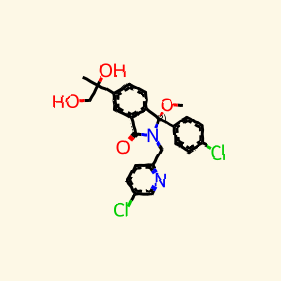 CO[C@]1(c2ccc(Cl)cc2)c2ccc(C(C)(O)CO)cc2C(=O)N1Cc1ccc(Cl)cn1